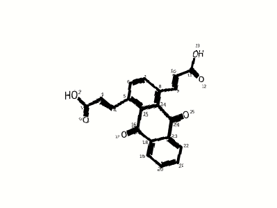 O=C(O)/C=C/c1ccc(/C=C/C(=O)O)c2c1C(=O)c1ccccc1C2=O